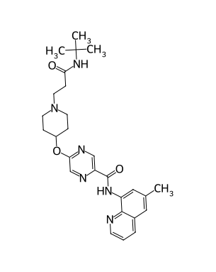 Cc1cc(NC(=O)c2cnc(OC3CCN(CCC(=O)NC(C)(C)C)CC3)cn2)c2ncccc2c1